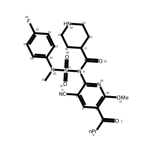 CCCC(=O)c1cc(C#N)c(N(C(=O)C2CCNCC2)S(=O)(=O)N(C)c2ccc(F)cc2)nc1OC